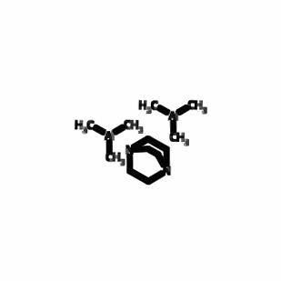 C1CN2CCN1CC2.[CH3][Al]([CH3])[CH3].[CH3][Al]([CH3])[CH3]